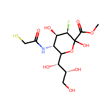 COC(=O)C1(O)OC([C@@H](O)[C@H](O)CO)[C@H](NC(=O)CS)[C@@H](O)[C@H]1F